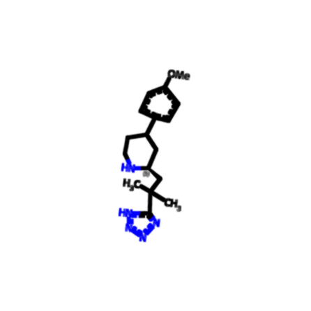 COc1ccc(C2CCN[C@H](CC(C)(C)c3nnn[nH]3)C2)cc1